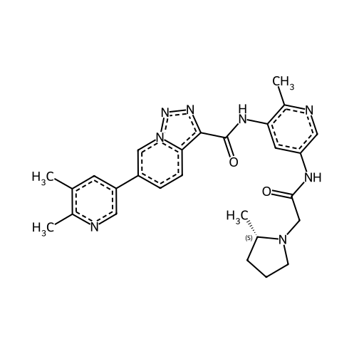 Cc1cc(-c2ccc3c(C(=O)Nc4cc(NC(=O)CN5CCC[C@@H]5C)cnc4C)nnn3c2)cnc1C